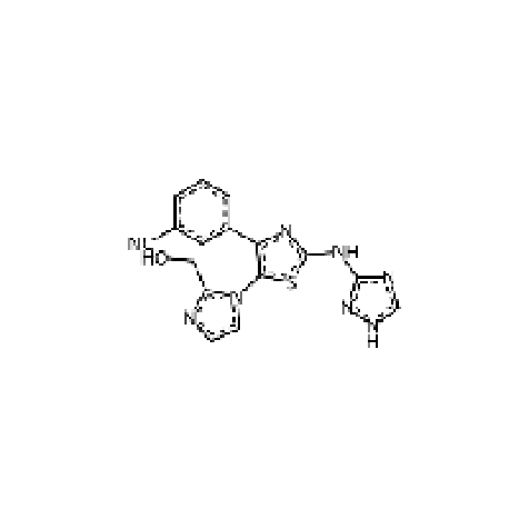 N#Cc1cccc(-c2nc(Nc3nc[nH]n3)sc2-n2ccnc2CO)c1